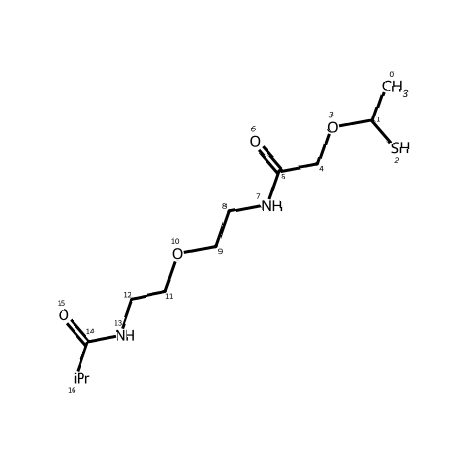 CC(S)OCC(=O)NCCOCCNC(=O)C(C)C